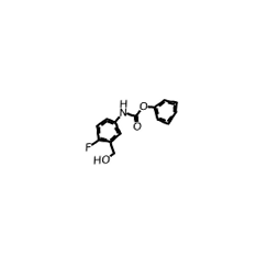 O=C(Nc1ccc(F)c(CO)c1)Oc1ccccc1